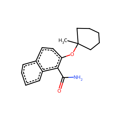 CC1(Oc2ccc3ccccc3c2C(N)=O)CCCCC1